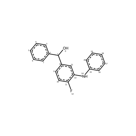 OC(c1ccccc1)c1ccc(F)c(Nc2ccccc2)c1